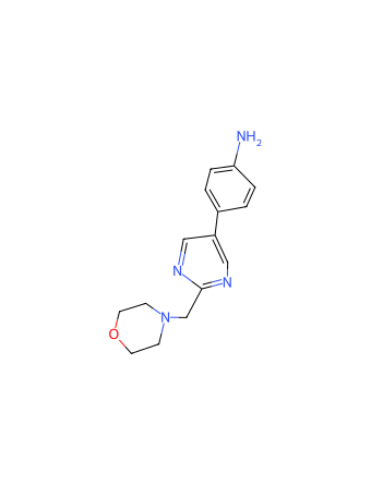 Nc1ccc(-c2cnc(CN3CCOCC3)nc2)cc1